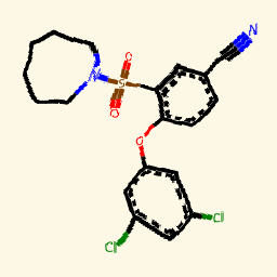 N#Cc1ccc(Oc2cc(Cl)cc(Cl)c2)c(S(=O)(=O)N2CCCCCC2)c1